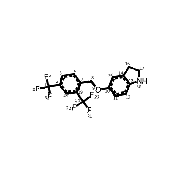 FC(F)(F)c1ccc(COc2ccc3c(c2)CCN3)c(C(F)(F)F)c1